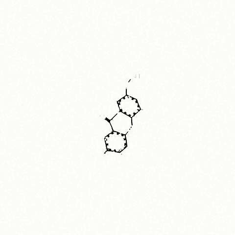 BBc1ccc2c(c1)C(=O)c1cc(C)ccc1C2